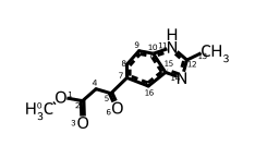 COC(=O)CC(=O)c1ccc2[nH]c(C)nc2c1